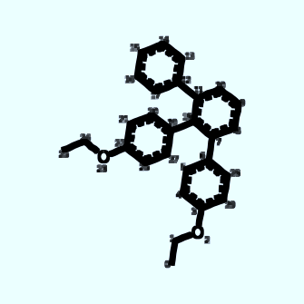 CCOc1ccc(-c2[c]ccc(-c3ccccc3)c2-c2ccc(OCC)cc2)cc1